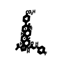 C=C(C)[C@@H]1CC[C@]2(NC(=O)CNc3ccc(F)cc3)CC[C@]3(C)[C@H](CC[C@@H]4[C@@]5(C)CC=C(c6ccc(C(=O)O)cc6)C(C)(C)[C@@H]5CC[C@]43C)[C@@H]12